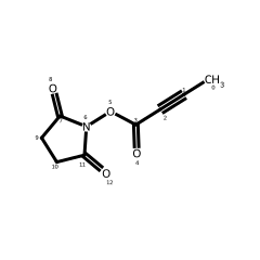 CC#CC(=O)ON1C(=O)CCC1=O